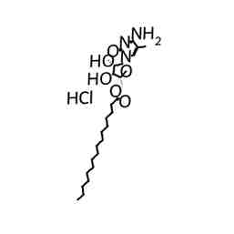 CCCCCCCCCCCCCCCC(=O)OC[C@H]1O[C@@H](n2cc(C)c(N)nc2=O)[C@@H](O)[C@@H]1O.Cl